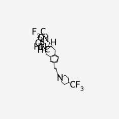 O=S1(=O)N[C@]2(CN1CC(F)(F)F)[C@@H]1CC[C@@H]2Cc2cc(/C=C/CN3CCC(C(F)(F)F)CC3)ccc2C1